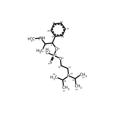 CNC(C)C(OP(C)(=S)OCCN(C(C)C)C(C)C)c1ccccc1